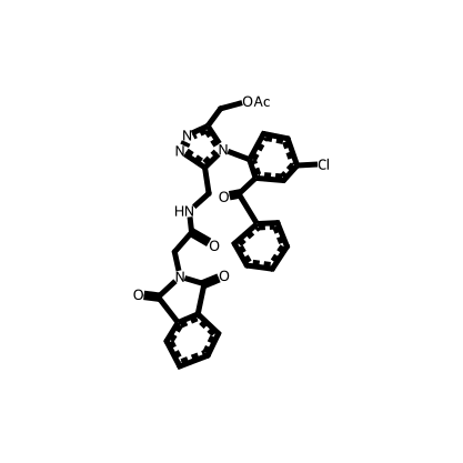 CC(=O)OCc1nnc(CNC(=O)CN2C(=O)c3ccccc3C2=O)n1-c1ccc(Cl)cc1C(=O)c1ccccc1